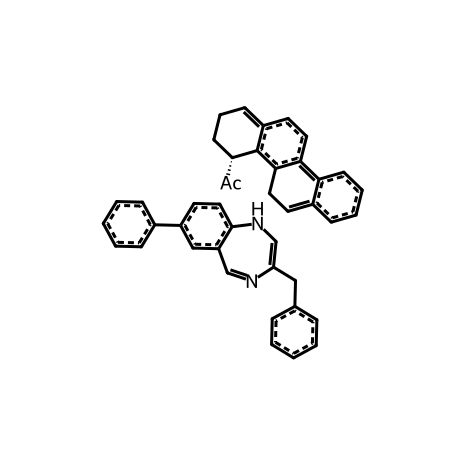 C1=NC(Cc2ccccc2)=CNc2ccc(-c3ccccc3)cc21.CC(=O)[C@@H]1CCC=c2ccc3c(c21)CC=c1ccccc1=3